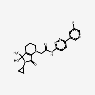 CC1(O)C2=C(C(=O)N1C1CC1)N(CC(=O)Nc1ccc(-c3cncc(F)c3)nn1)CCC2